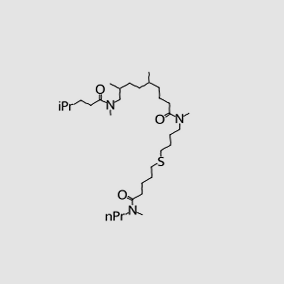 CCCN(C)C(=O)CCCCSCCCCN(C)C(=O)CCCC(C)CCC(C)CN(C)C(=O)CCC(C)C